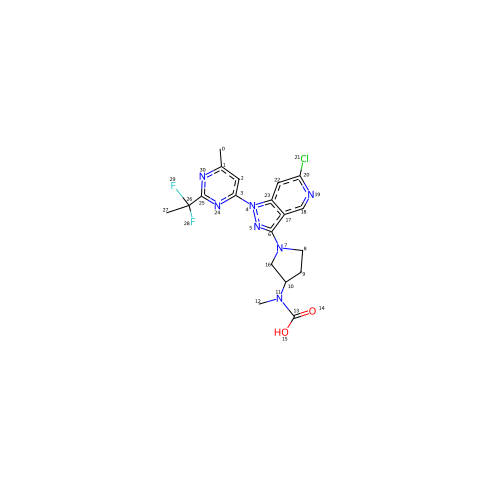 Cc1cc(-n2nc(N3CCC(N(C)C(=O)O)C3)c3cnc(Cl)cc32)nc(C(C)(F)F)n1